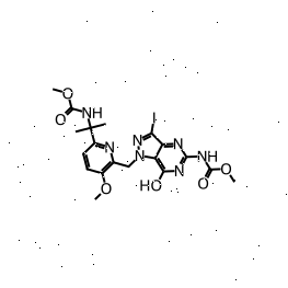 COC(=O)Nc1nc(O)c2c(n1)c(I)nn2Cc1nc(C(C)(C)NC(=O)OC)ccc1OC